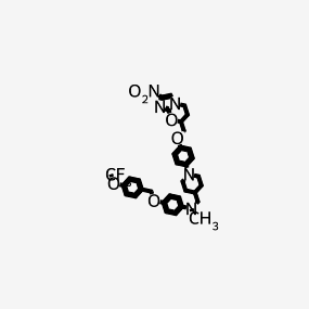 CN(CC1CCN(c2ccc(OCC3CCn4cc([N+](=O)[O-])nc4O3)cc2)CC1)c1ccc(OCc2ccc(OC(F)(F)F)cc2)cc1